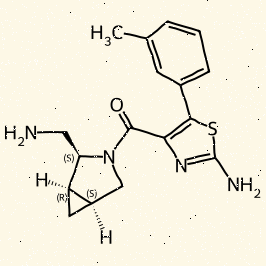 Cc1cccc(-c2sc(N)nc2C(=O)N2C[C@H]3C[C@H]3[C@H]2CN)c1